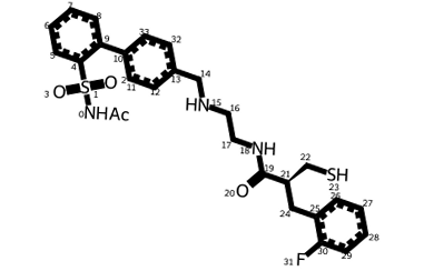 CC(=O)NS(=O)(=O)c1ccccc1-c1ccc(CNCCNC(=O)[C@@H](CS)Cc2ccccc2F)cc1